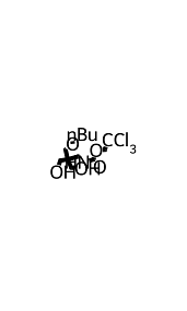 CCCCOCC(CO)(CO)CNC(=O)OCC(Cl)(Cl)Cl